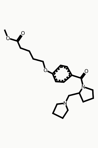 COC(=O)CCCCOc1ccc(C(=O)N2CCCC2CN2CCCC2)cc1